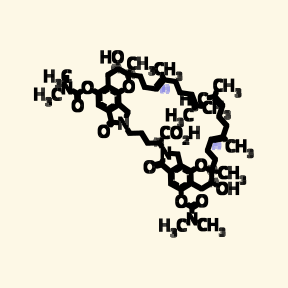 CC(C)=CCC/C(C)=C/CC[C@@]1(C)Oc2c(c(OC(=O)N(C)C)cc3c2CN(CCC[C@@H](C(=O)O)N2Cc4c(cc(OC(=O)N(C)C)c5c4O[C@](C)(CC/C=C(\C)CCC=C(C)C)[C@@H](O)C5)C2=O)C3=O)C[C@@H]1O